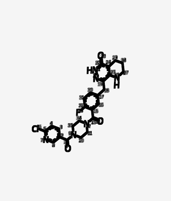 O=C(c1ccc(Cl)nc1)N1CCN(C(=O)c2cc(Cc3n[nH]c(=O)c4c3NCCC4)ccc2F)CC1